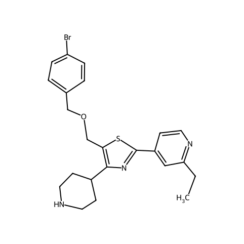 CCc1cc(-c2nc(C3CCNCC3)c(COCc3ccc(Br)cc3)s2)ccn1